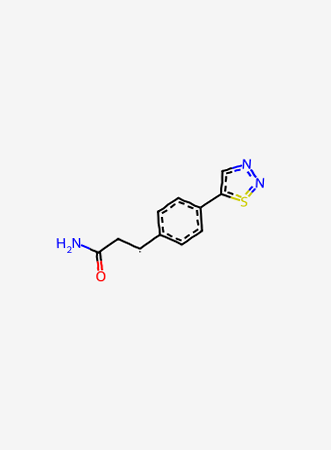 NC(=O)C[CH]c1ccc(-c2cnns2)cc1